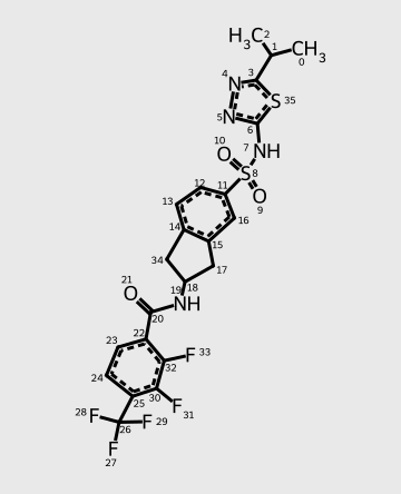 CC(C)c1nnc(NS(=O)(=O)c2ccc3c(c2)CC(NC(=O)c2ccc(C(F)(F)F)c(F)c2F)C3)s1